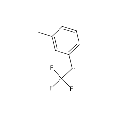 Cc1cccc([CH]C(F)(F)F)c1